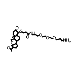 CC(=O)C1CCC2C3CCC4=C(SCCC(=O)NCCCOCCOCCOCCCN)C(=O)CCC4(C)C3CCC12C